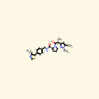 CCC[C@@H](C(=O)N1CCC[C@H]1C(=O)NCc1ccc(-c2scnc2C)cc1)c1cc(C)n(C)n1